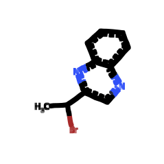 CC(Br)c1cnc2ccccc2n1